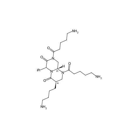 CC(C)C1C(=O)N(C(=O)CCCCN)C[C@@H]2N(C(=O)CCCCN)C[C@@H](CCCCN)C(=O)N12